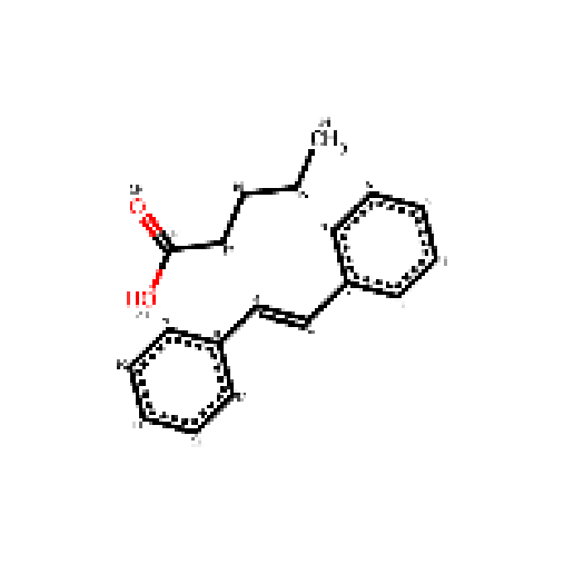 C(=Cc1ccccc1)c1ccccc1.CCCCC(=O)O